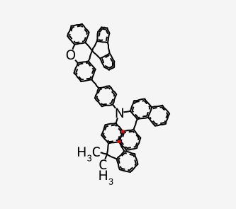 CC1(C)c2ccccc2-c2cc(N(c3ccc(-c4ccc5c(c4)C4(c6ccccc6O5)c5ccccc5-c5ccccc54)cc3)c3ccc4ccccc4c3-c3ccccc3)ccc21